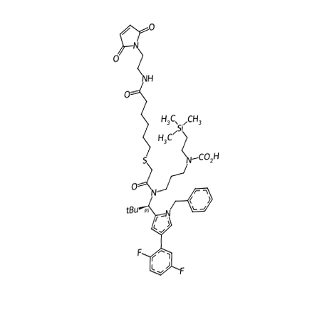 CC(C)(C)[C@H](c1cc(-c2cc(F)ccc2F)cn1Cc1ccccc1)N(CCCN(CC[Si](C)(C)C)C(=O)O)C(=O)CSCCCCCC(=O)NCCN1C(=O)C=CC1=O